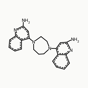 Nc1cc(N2CCCN(c3cc(N)nc4ccccc34)CC2)c2ccccc2n1